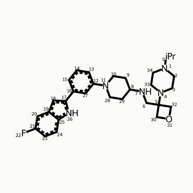 CC(C)N1CCN(C2(CNC3CCN(c4cccc(-c5cc6cc(F)ccc6[nH]5)c4)CC3)COC2)CC1